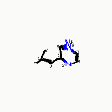 CC(C)=Cc1cnccn1